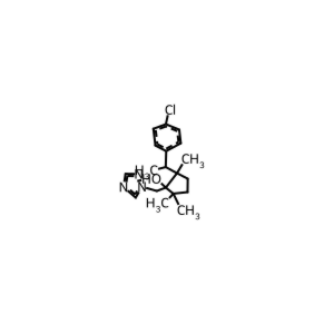 CC(c1ccc(Cl)cc1)C1(C)CCC(C)(C)C1(O)Cn1cncn1